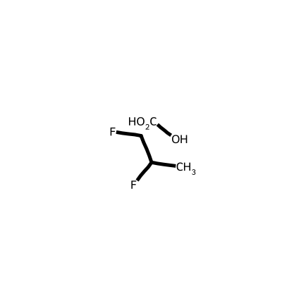 CC(F)CF.O=C(O)O